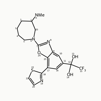 CNC1CCCCN(c2nc3cc(C(O)(O)C(F)(F)F)cc(-c4nccs4)c3o2)C1